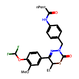 CCCCCC(=O)Nc1ccc(CN2N=C(c3ccc(OC(F)F)c(OC)c3)C(CC)SC2=O)cc1